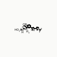 C[C@@]1(c2cc(-c3cc(-c4ccn(C(F)F)n4)no3)ccc2F)C[C@@H](C(F)(F)F)OC(NC(=O)O)=N1